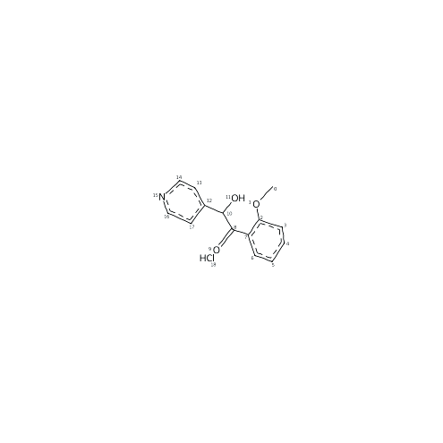 COc1ccccc1C(=O)C(O)c1ccncc1.Cl